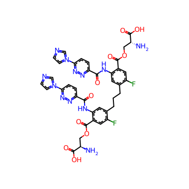 N[C@H](COC(=O)c1cc(F)c(CCCc2cc(NC(=O)c3ccc(-n4ccnc4)nn3)c(C(=O)OC[C@@H](N)C(=O)O)cc2F)cc1NC(=O)c1ccc(-n2ccnc2)nn1)C(=O)O